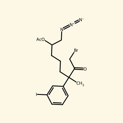 CC(=O)OC(CCCC(C)(C(=O)CBr)c1cccc(I)c1)CN=[N+]=[N-]